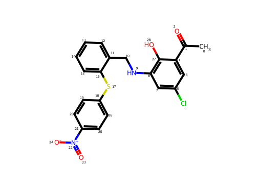 CC(=O)c1cc(Cl)cc(NCc2ccccc2Sc2ccc([N+](=O)[O-])cc2)c1O